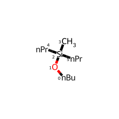 CCCCO[Si](C)(CCC)CCC